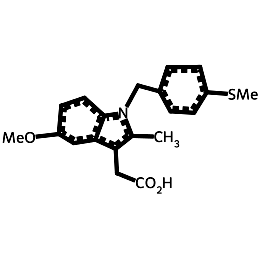 COc1ccc2c(c1)c(CC(=O)O)c(C)n2Cc1ccc(SC)cc1